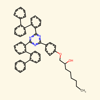 CCCCCCC(O)COc1ccc(-c2nc(-c3ccccc3-c3ccccc3-c3ccccc3)nc(-c3ccccc3-c3ccccc3-c3ccccc3)n2)cc1